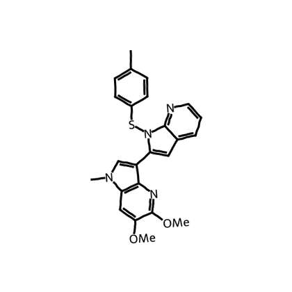 COc1cc2c(nc1OC)c(-c1cc3cccnc3n1Sc1ccc(C)cc1)cn2C